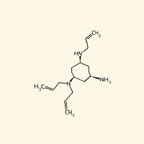 C=CCN[C@H]1C[C@@H](N)C[C@@H](N(CC=C)CC=C)C1